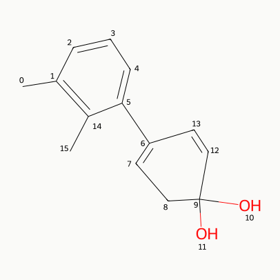 Cc1cccc(C2=CCC(O)(O)C=C2)c1C